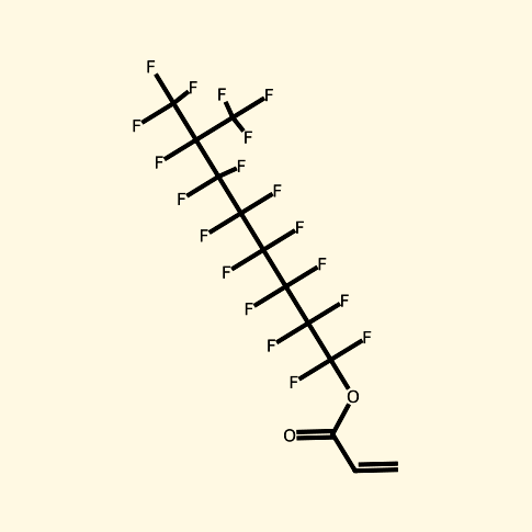 C=CC(=O)OC(F)(F)C(F)(F)C(F)(F)C(F)(F)C(F)(F)C(F)(F)C(F)(C(F)(F)F)C(F)(F)F